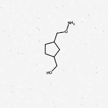 NOCC1CCC(CO)C1